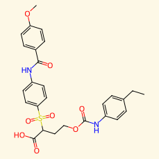 CCc1ccc(NC(=O)OCCC(C(=O)O)S(=O)(=O)c2ccc(NC(=O)c3ccc(OC)cc3)cc2)cc1